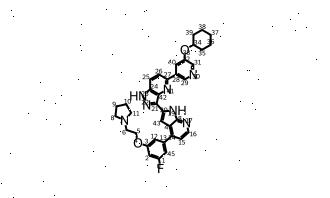 Fc1cc(OCCN2CCCC2)cc(-c2ccnc3[nH]c(-c4n[nH]c5ccc(-c6cncc(OC7CCCCC7)c6)nc45)cc23)c1